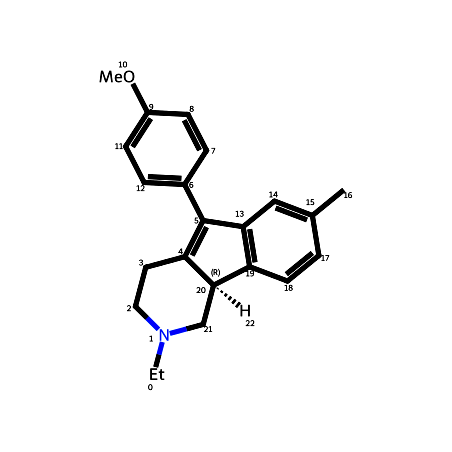 CCN1CCC2=C(c3ccc(OC)cc3)c3cc(C)ccc3[C@H]2C1